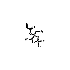 C=CC(=O)O[Si](CC(C)C)(CC(C)C)O[Si](CC)(CC)CC